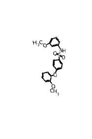 COc1cccc(NS(=O)(=O)c2ccc(Oc3ccccc3OC)cc2)c1